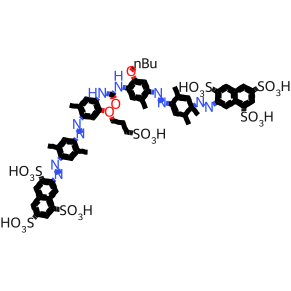 CCCCOc1cc(N=NC2=CC(C)C(C)(N=Nc3cc4c(S(=O)(=O)O)cc(S(=O)(=O)O)cc4cc3S(=O)(=O)O)C=C2C)c(C)cc1NC(=O)Nc1cc(C)c(N=Nc2cc(C)c(N=Nc3cc4c(S(=O)(=O)O)cc(S(=O)(=O)O)cc4cc3S(=O)(=O)O)cc2C)cc1OCCCS(=O)(=O)O